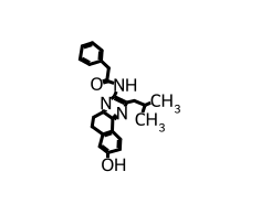 CC(C)Cc1nc2c(nc1NC(=O)Cc1ccccc1)CCc1cc(O)ccc1-2